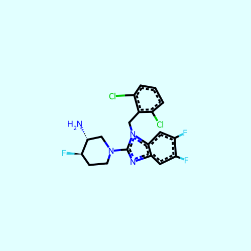 N[C@@H]1CN(c2nc3cc(F)c(F)cc3n2Cc2c(Cl)cccc2Cl)CC[C@H]1F